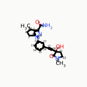 C[C@@H]1CCc2c1c(C(N)=O)nn2-c1cccc(C#C[C@]2(O)CCN(C)C2=O)c1